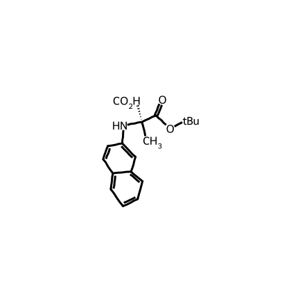 CC(C)(C)OC(=O)[C@@](C)(Nc1ccc2ccccc2c1)C(=O)O